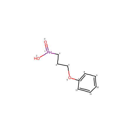 O=[PH](O)CCCOc1ccccc1